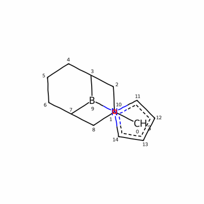 CC1CC2CCCC(C1)B2n1cccc1